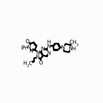 C=CCn1c(=O)c2cnc(Nc3ccc(N4CCN[C@H](C)C4)cc3)nc2n1-c1ccc(=O)n(C(C)C)n1